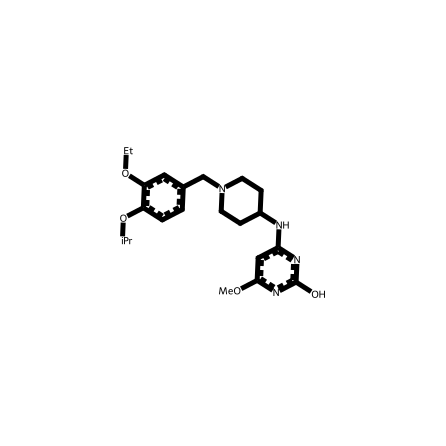 CCOc1cc(CN2CCC(Nc3cc(OC)nc(O)n3)CC2)ccc1OC(C)C